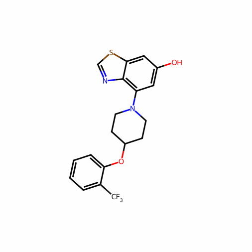 Oc1cc(N2CCC(Oc3ccccc3C(F)(F)F)CC2)c2ncsc2c1